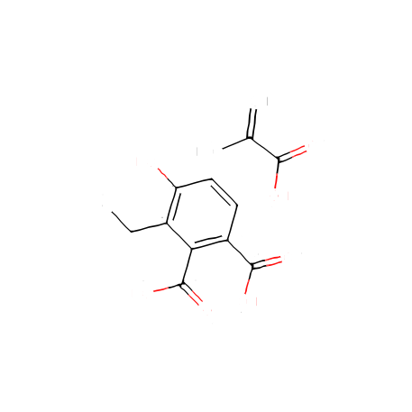 C=C(C)C(=O)O.CCc1c(O)ccc(C(=O)O)c1C(=O)O